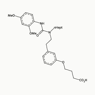 CCCCCCCN(CCc1cccc(OCCCC(=O)O)c1)C(=O)Nc1ccc(OC)cc1OC